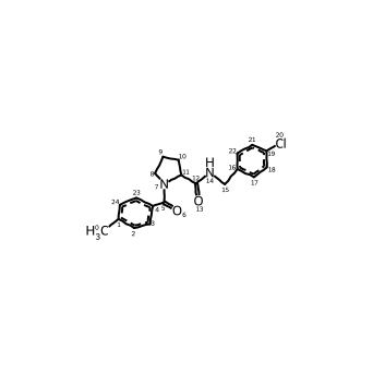 Cc1ccc(C(=O)N2CCCC2C(=O)NCc2ccc(Cl)cc2)cc1